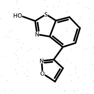 Oc1nc2c(-c3ccon3)cccc2s1